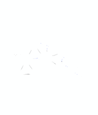 COc1cc2[nH]nc(-c3ccc(N4CCN5CCC[C@H]5C4)nc3)c2nc1-c1cccc2c1CC(F)C2